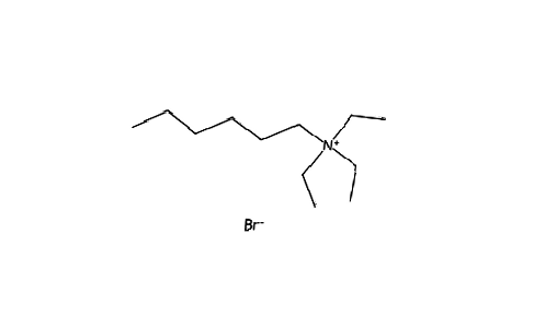 CCCCCC[N+](CC)(CC)CC.[Br-]